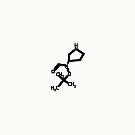 CC(C)(C)ON(C=O)[C@H]1CCNC1